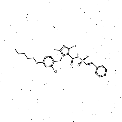 CCCCCOc1ccc(Cn2c(C)nc(Cl)c2C(=O)NS(=O)(=O)/C=C/c2ccccc2)c(Cl)c1